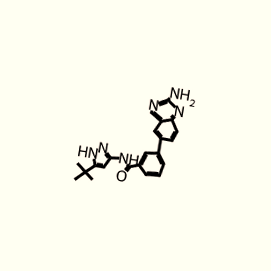 CC(C)(C)c1cc(NC(=O)c2cccc(-c3ccc4nc(N)ncc4c3)c2)n[nH]1